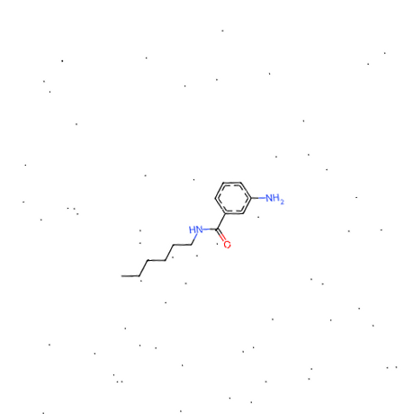 CCCCCCNC(=O)c1cccc(N)c1